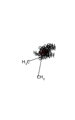 CCCCCCCCCCCCC/C=C/[C@@H](O)[C@H](CO[C@@H]1OC(CO)[C@@H](O[C@@H]2OC(CO)[C@H](O)[C@H](O[C@@H]3OC(CO)[C@@H](O[C@H]4OC(C)[C@@H](O)C(O)[C@@H]4O)[C@H](O[C@@H]4OC(CO)[C@H](O)[C@H](O[C@@H]5OC(CO)[C@@H](O[C@@H]6OC(CO)[C@H](O)[C@H](O)C6O)[C@H](O[C@H]6OC(C)[C@@H](O)C(O)[C@@H]6O)C5NC(C)=O)C4O)C3NC(C)=O)C2O)[C@H](O)C1O)NC(=O)CCCCCCCCCCCCCCCCCCCCC